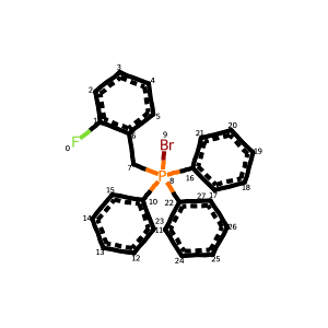 Fc1ccccc1CP(Br)(c1ccccc1)(c1ccccc1)c1ccccc1